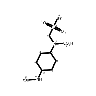 CC(C)S(=O)(=O)CN(C(=O)O)C1CCC(NC(C)(C)C)CC1